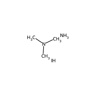 CN(C)C.I.N